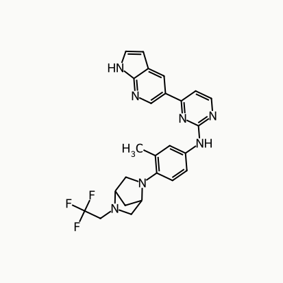 Cc1cc(Nc2nccc(-c3cnc4[nH]ccc4c3)n2)ccc1N1CC2CC1CN2CC(F)(F)F